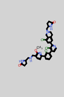 COc1nc(-c2cccc(-c3ccnc(-c4cc(Cl)c5c(c4)CCN(CC4CCC(=O)N4)C5)c3Cl)c2Cl)ccc1CNCC1CCC(=O)N1